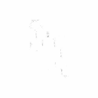 CCCCN(CCC(=O)OC(C(C)=O)C(=O)OC)C(=O)c1ccccc1-n1nccn1